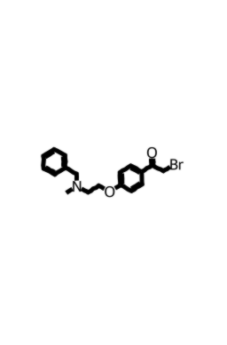 CN(CCOc1ccc(C(=O)CBr)cc1)Cc1ccccc1